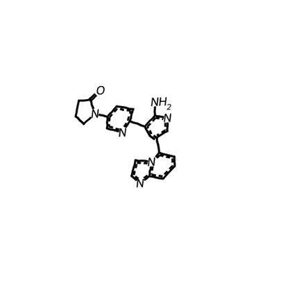 Nc1ncc(-c2cccc3nccn23)cc1-c1ccc(N2CCCC2=O)cn1